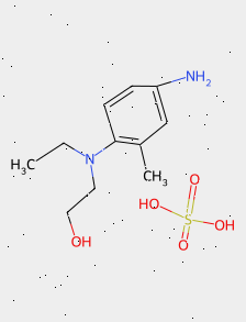 CCN(CCO)c1ccc(N)cc1C.O=S(=O)(O)O